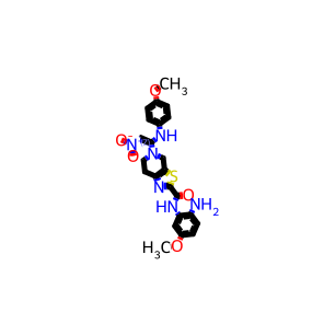 COc1ccc(N/C(=C/[N+](=O)[O-])N2CCc3nc(C(=O)Nc4cc(OC)ccc4N)sc3C2)cc1